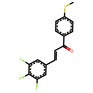 CSc1ccc(C(=O)/C=C/c2cc(F)c(F)c(F)c2)cc1